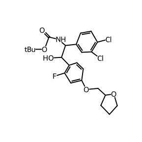 CC(C)(C)OC(=O)NC(c1ccc(Cl)c(Cl)c1)C(O)c1ccc(OCC2CCCO2)cc1F